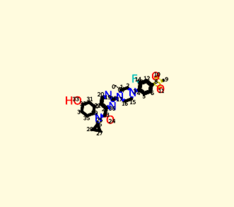 C[C@@H]1CN(c2ccc(S(C)(=O)=O)cc2F)CCN1c1nccc(C(=O)N(C2CC2)[C@H]2CC[C@H](O)CC2)n1